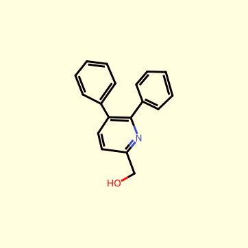 OCc1ccc(-c2ccccc2)c(-c2ccccc2)n1